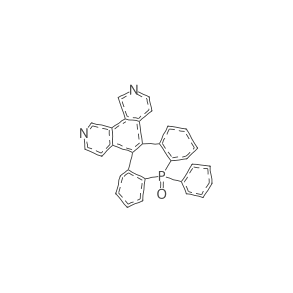 O=P1(c2ccccc2)c2ccccc2-c2c(c3ccncc3c3cnccc23)-c2ccccc21